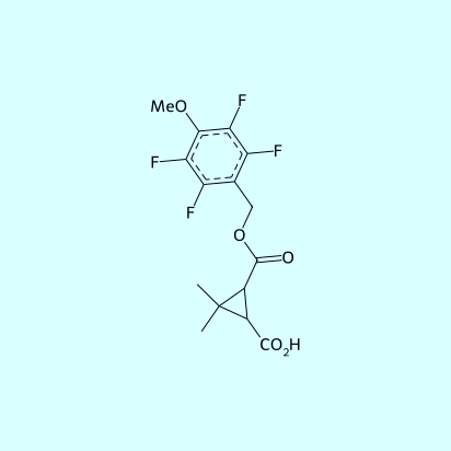 COc1c(F)c(F)c(COC(=O)C2C(C(=O)O)C2(C)C)c(F)c1F